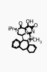 CC(C)N1C[C@H](C2CC3=C(CCC=C3)Cc3ccccc32)n2c([S+](C)[O-])nc(=O)c(O)c2C1=O